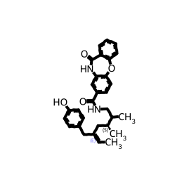 C/C=C(/Cc1ccc(O)cc1)C[C@H](C)C(C)CNC(=O)c1ccc2c(c1)NC(=O)c1ccccc1O2